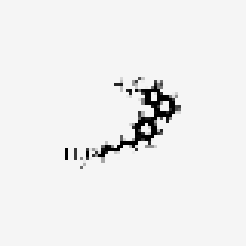 CCCCCCc1ccc(-c2cccc3c2C=C(C)[CH]3)cc1